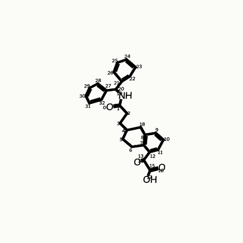 O=C(CCC1CCc2c(cccc2C(=O)C(=O)O)C1)NC(c1ccccc1)c1ccccc1